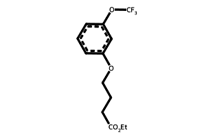 CCOC(=O)CCCOc1cccc(OC(F)(F)F)c1